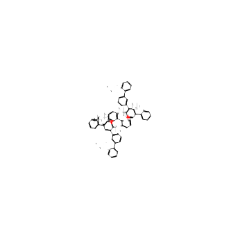 N#Cc1ccc(-n2c3ccc(-c4ccccc4C#N)cc3c3cc(-c4ccccc4C#N)ccc32)c(-c2ncccc2-n2c3ccc(-c4ccccc4C#N)cc3c3cc(-c4ccccc4C#N)ccc32)c1